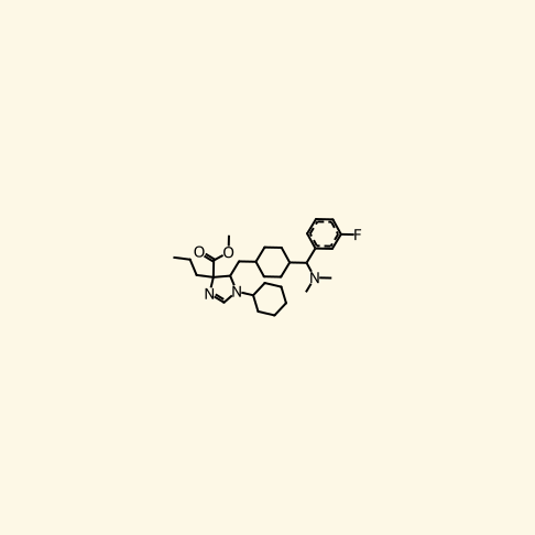 CCCC1(C(=O)OC)N=CN(C2CCCCC2)C1CC1CCC(C(c2cccc(F)c2)N(C)C)CC1